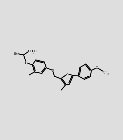 CCC(Oc1ccc(SCc2sc(-c3ccc(OC(F)(F)F)cc3)cc2C)cc1C)C(=O)O